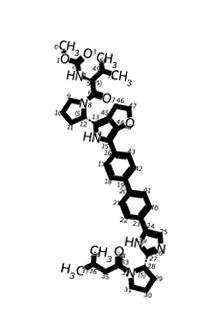 COC(=O)N[C@H](C(=O)N1CCC[C@H]1c1[nH]c(-c2ccc(-c3ccc(-c4cnc([C@@H]5CCCN5C(=O)CC(C)C)[nH]4)cc3)cc2)c2c1CCO2)C(C)C